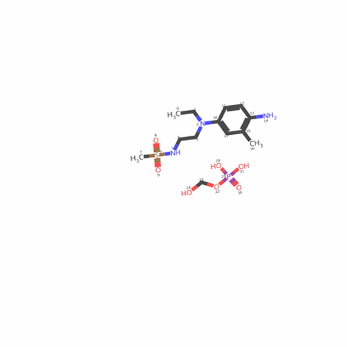 CCN(CCNS(C)(=O)=O)c1ccc(N)c(C)c1.O=P(O)(O)OCO